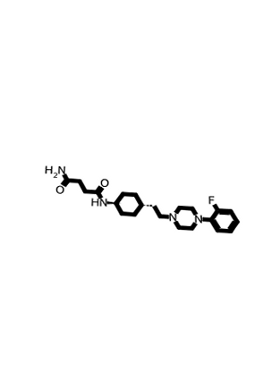 NC(=O)CCC(=O)N[C@H]1CC[C@H](CCN2CCN(c3ccccc3F)CC2)CC1